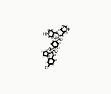 O=S(=O)(c1ccc(S(=O)(=O)N(Cc2ccc(Cl)cc2)C2CCCC2)cc1)N(Cc1cncnc1)CC1CCNCC1